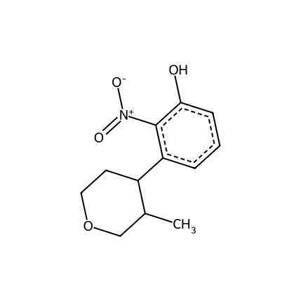 CC1COCCC1c1cccc(O)c1[N+](=O)[O-]